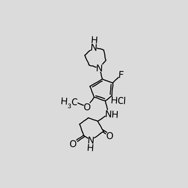 COc1cc(N2CCNCC2)c(F)cc1NC1CCC(=O)NC1=O.Cl